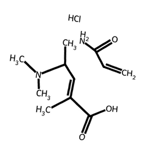 C=CC(N)=O.CC(=CC(C)N(C)C)C(=O)O.Cl